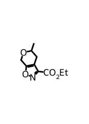 CCOC(=O)c1noc2c1CC(C)OC2